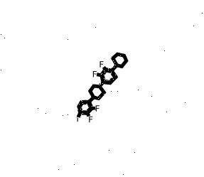 Fc1c(I)ccc(C2CCC(c3ccc(C4CCCCC4)c(F)c3F)CC2)c1F